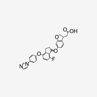 O=C(O)CC1COc2cc(O[C@@H]3CCc4c(Oc5ccc(-n6ccnc6)cc5)ccc(F)c43)ccc21